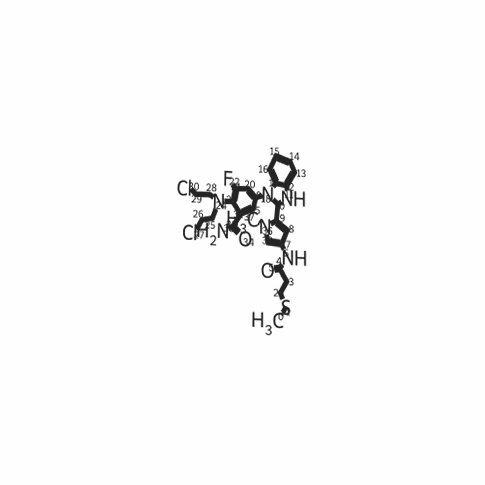 CSCCC(=O)Nc1cc(C2Nc3ccccc3N2c2cc(F)c(N(CCCl)CCCl)c(C(N)=O)c2)n(C)c1